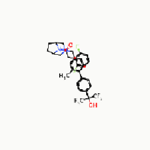 Cc1cc(CN2CC3CCC(C2)N3C(=O)Cc2c(F)cccc2F)ccc1-c1ccc(C(O)(C(F)(F)F)C(F)(F)F)cc1